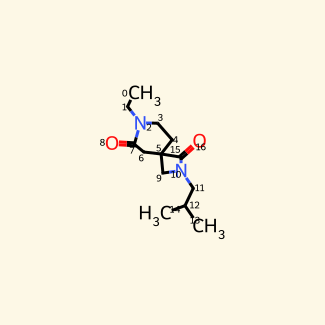 CCN1CCC2(CC1=O)CN(CC(C)C)C2=O